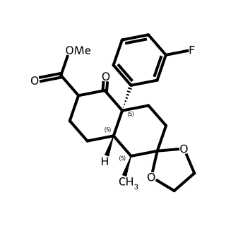 COC(=O)C1CC[C@H]2[C@H](C)C3(CC[C@]2(c2cccc(F)c2)C1=O)OCCO3